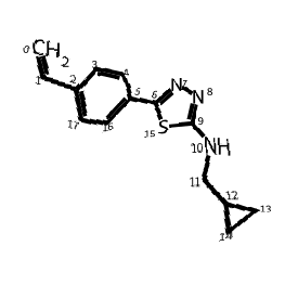 C=Cc1ccc(-c2nnc(NCC3CC3)s2)cc1